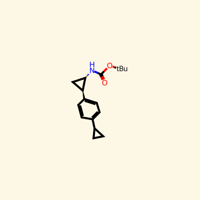 CC(C)(C)OC(=O)N[C@H]1C[C@@H]1c1ccc(C2CC2)cc1